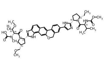 CC[C@H]1CC[C@@H](c2ncc(-c3ccc4c(c3)COc3cc5c(ccc6nc([C@@H]7C[C@H](COC)CN7C(=O)[C@@H]([C@@H](C)OC)N(C)C(=O)O)[nH]c65)cc3-4)[nH]2)N1C(=O)[C@@H](NC(=O)OC)C(C)C